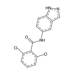 O=C(Nc1ccc2[nH]ncc2c1)c1c(Cl)cccc1Cl